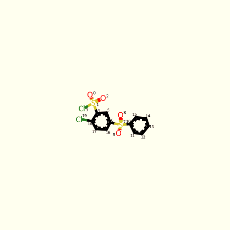 O=S(=O)(Cl)c1cc(S(=O)(=O)c2ccccc2)ccc1Cl